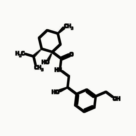 CC(C)[C@@H]1CC[C@@H](C)C[C@@]1(O)C(=O)NC[C@H](O)c1cccc(CO)c1